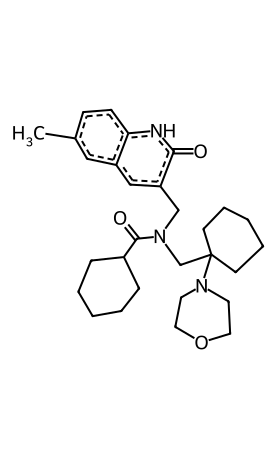 Cc1ccc2[nH]c(=O)c(CN(CC3(N4CCOCC4)CCCCC3)C(=O)C3CCCCC3)cc2c1